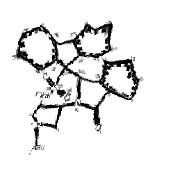 CCCCN1CCC(N2C(=O)c3ccccc3C2C2(S(=O)(=O)CCCC)c3ccccc3-c3ccccc32)C1